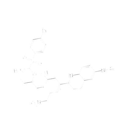 CC(=O)NC1=CC2CCC(/C(=C/CC[N+](=O)[O-])CC(C)OCC(CF)OC(C)S(=O)(=O)c3ccc(Br)cc3)NC2C=C1